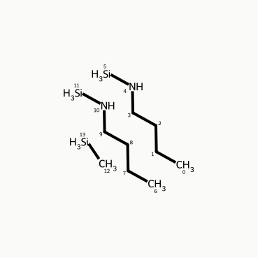 CCCCN[SiH3].CCCCN[SiH3].C[SiH3]